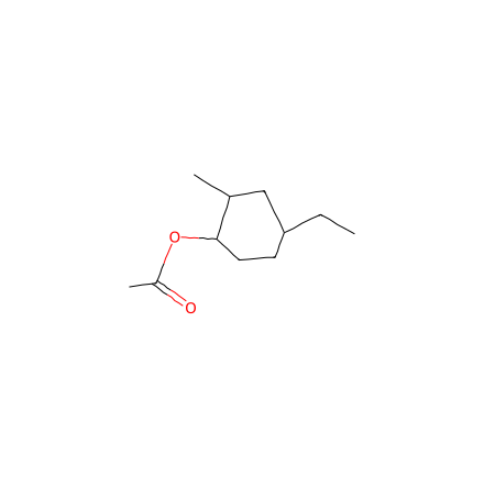 CCC1CCC(OC(C)=O)C(C)C1